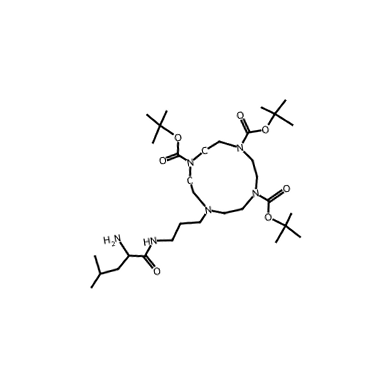 CC(C)CC(N)C(=O)NCCCN1CCN(C(=O)OC(C)(C)C)CCN(C(=O)OC(C)(C)C)CCN(C(=O)OC(C)(C)C)CC1